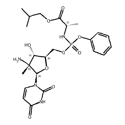 CC(C)COC(=O)[C@H](C)NP(=O)(OC[C@H]1O[C@@H](n2ccc(=O)[nH]c2=O)[C@](C)(N)[C@@H]1O)Oc1ccccc1